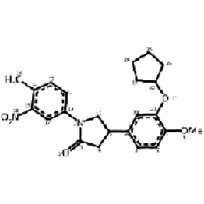 COc1ccc(C2CC(=O)N(c3ccc(C)c([N+](=O)[O-])c3)C2)cc1OC1CCCC1